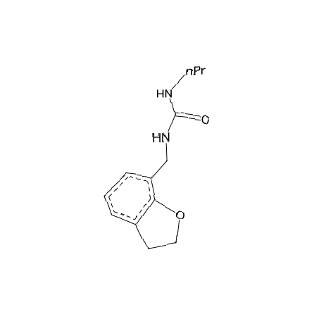 CCCNC(=O)NCc1cccc2c1OCC2